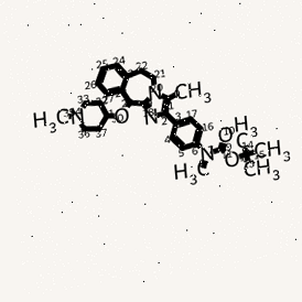 Cc1c(-c2ccc(N(C)C(=O)OC(C)(C)C)cc2)nc2n1CCc1ccccc1C2OC1CCN(C)CC1